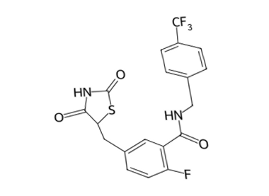 O=C1NC(=O)C(Cc2ccc(F)c(C(=O)NCc3ccc(C(F)(F)F)cc3)c2)S1